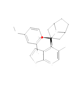 Nc1cc(OC(F)(F)F)ccc1C(=O)N1C2CCC1CC(O)(c1c(F)cnc3[nH]ccc13)C2